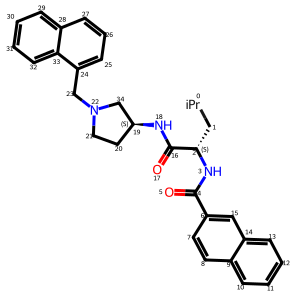 CC(C)C[C@H](NC(=O)c1ccc2ccccc2c1)C(=O)N[C@H]1CCN(Cc2cccc3ccccc23)C1